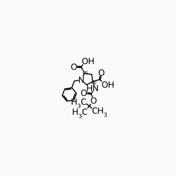 CC(C)(C)OC(=O)N[C@]1(C(=O)O)C[C@H](C(=O)O)N(Cc2ccccc2)C1